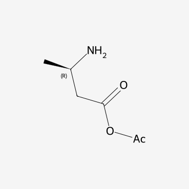 CC(=O)OC(=O)C[C@@H](C)N